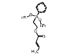 CC=CC(=O)OCC[Si](OCCC)(OCCC)c1ccccc1